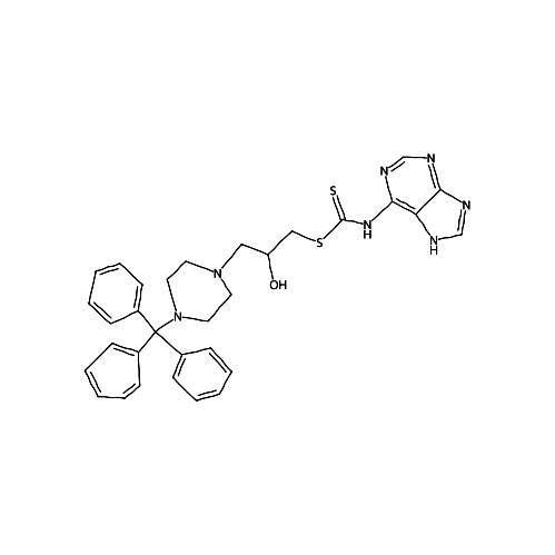 OC(CSC(=S)Nc1ncnc2nc[nH]c12)CN1CCN(C(c2ccccc2)(c2ccccc2)c2ccccc2)CC1